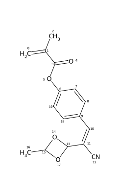 C=C(C)C(=O)Oc1ccc(/C=C(/C#N)C2OC(C)O2)cc1